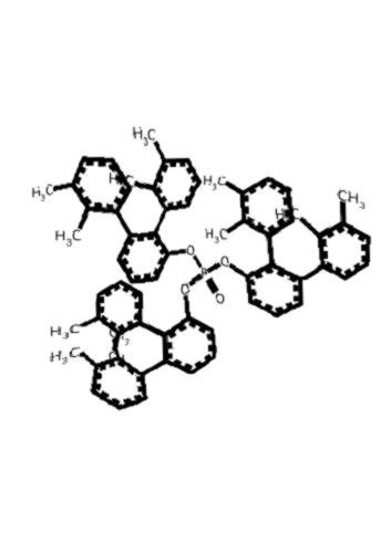 Cc1cccc(-c2cccc(OP(=O)(Oc3cccc(-c4cccc(C)c4C)c3-c3cccc(C)c3C)Oc3cccc(-c4cccc(C)c4C)c3-c3cccc(C)c3C)c2-c2cccc(C)c2C)c1C